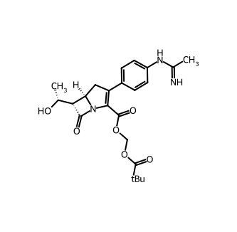 CC(=N)Nc1ccc(C2=C(C(=O)OCOC(=O)C(C)(C)C)N3C(=O)[C@H]([C@@H](C)O)[C@H]3C2)cc1